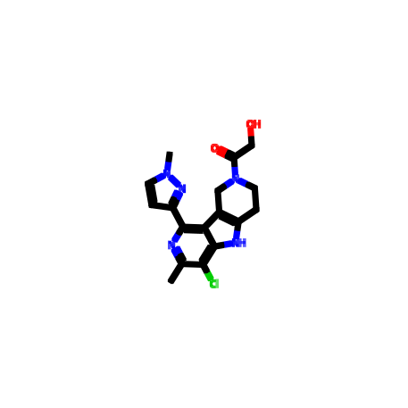 Cc1nc(-c2ccn(C)n2)c2c3c([nH]c2c1Cl)CCN(C(=O)CO)C3